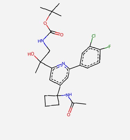 CC(=O)NC1(c2cc(-c3ccc(F)c(Cl)c3)nc(C(C)(O)CNC(=O)OC(C)(C)C)c2)CCC1